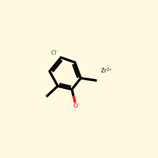 Cc1cccc(C)c1[O-].[Cl-].[Zr+2]